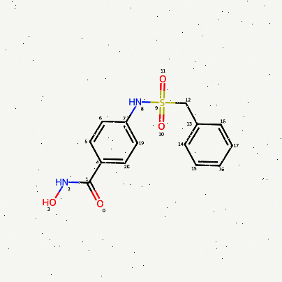 O=C(NO)c1ccc(NS(=O)(=O)Cc2ccccc2)cc1